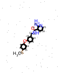 CSc1ccc(Oc2cccc(CNC(=O)c3cccnc3N)c2)cc1